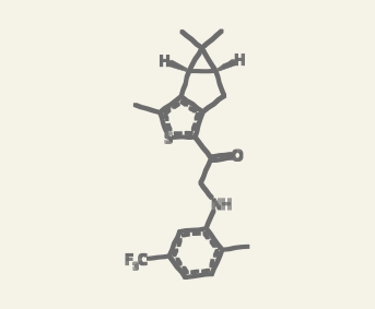 Cc1ccc(C(F)(F)F)cc1NCC(=O)c1sc(C)c2c1C[C@@H]1[C@H]2C1(C)C